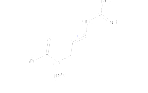 CN[C@@H](C/C=C/NC(=N)N)C(=O)C(C)C